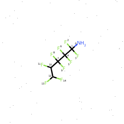 NC(F)(F)C(F)(F)C(F)(F)C(F)C(F)F